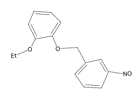 CCOc1ccccc1OCc1cccc([N+](=O)[O-])c1